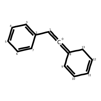 C(=Cc1ccccc1)=C1C=CC=CC1